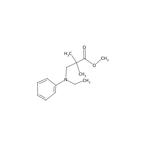 CCN(CC(C)(C)C(=O)OC)c1ccccc1